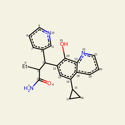 CCC(C(N)=O)C(c1cccnc1)c1cc(C2CC2)c2cccnc2c1O